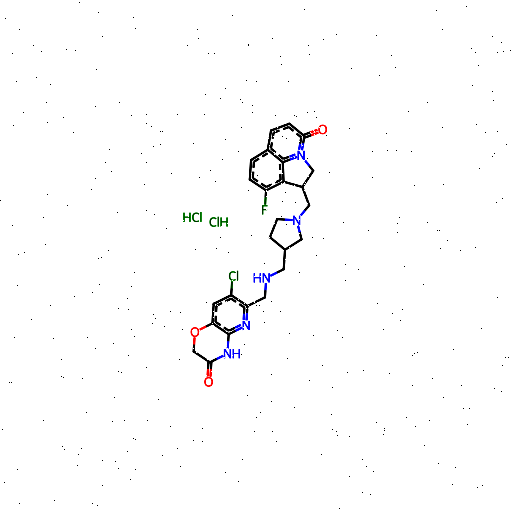 Cl.Cl.O=C1COc2cc(Cl)c(CNCC3CCN(CC4Cn5c(=O)ccc6ccc(F)c4c65)C3)nc2N1